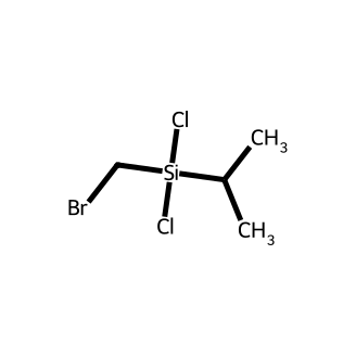 CC(C)[Si](Cl)(Cl)CBr